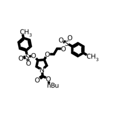 CCCCOC(=O)N1CC(OCCOS(=O)(=O)c2ccc(C)cc2)C(OS(=O)(=O)c2ccc(C)cc2)C1